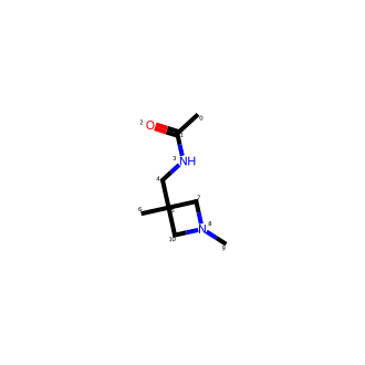 CC(=O)NCC1(C)CN(C)C1